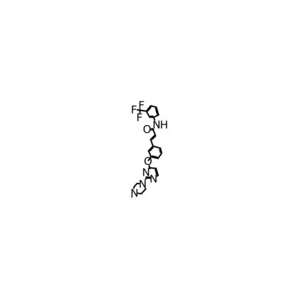 CN1CCN(c2nccc(Oc3cccc(C=CC(=O)Nc4cccc(C(F)(F)F)c4)c3)n2)CC1